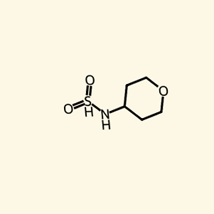 O=[SH](=O)NC1CCOCC1